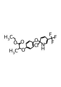 CCOC(=O)C(C)Oc1ccc(OC2(Cl)C=CC(C(F)(F)F)=CN2)cc1